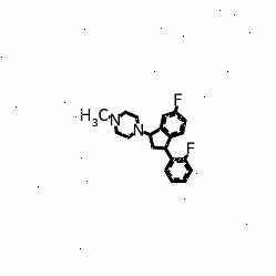 CN1CCN(C2CC(c3ccccc3F)c3ccc(F)cc32)CC1